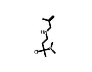 C=C(C)CNCCC(C)(Cl)N(C)C